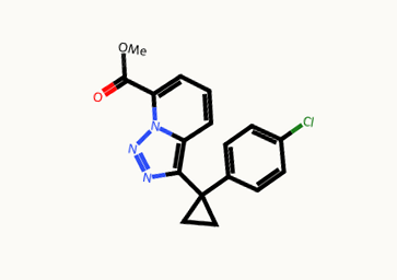 COC(=O)c1cccc2c(C3(c4ccc(Cl)cc4)CC3)nnn12